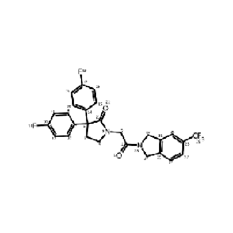 O=C(CN1CCC(c2ccc(F)cc2)(c2ccc(F)cc2)C1=O)N1Cc2ccc(C(F)(F)F)cc2C1